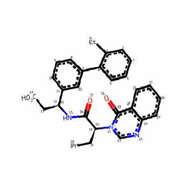 CCc1ccccc1-c1cccc([C@H](CC(=O)O)NC(=O)[C@H](CC(C)C)n2cnc3ccccc3c2=O)c1